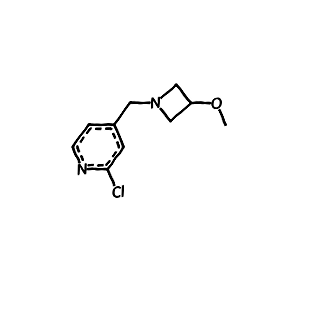 COC1CN(Cc2ccnc(Cl)c2)C1